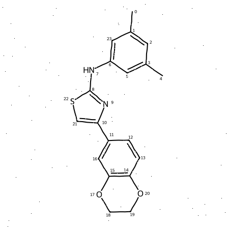 Cc1cc(C)cc(Nc2nc(-c3ccc4c(c3)OCCO4)cs2)c1